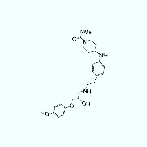 CNC(=O)N1CCC(Nc2ccc(CCNC[C@H](O)COc3ccc(O)cc3)cc2)CC1